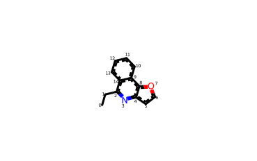 CCc1nc2ccoc2c2ccccc12